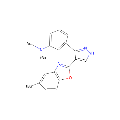 CC(=O)N(c1cccc(-c2n[nH]cc2-c2nc3cc(C(C)(C)C)ccc3o2)c1)C(C)(C)C